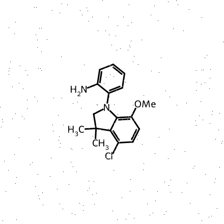 COc1ccc(Cl)c2c1N(c1ccccc1N)CC2(C)C